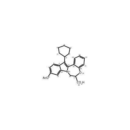 CC(=O)Oc1ccc2c(C3CCCCC3)c3n(c2c1)CC(C(=O)O)Oc1ccccc1-3